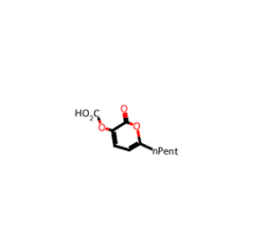 CCCCCc1ccc(OC(=O)O)c(=O)o1